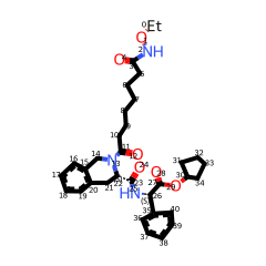 CCONC(=O)CCCCCCC(=O)N1Cc2ccccc2C[C@H]1C(=O)N[C@H](C(=O)OC1CCCC1)c1ccccc1